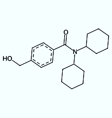 O=C(c1ccc(CO)cc1)N(C1CCCCC1)C1CCCCC1